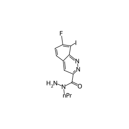 CCCN(N)C(=O)c1cc2ccc(F)c(I)c2nn1